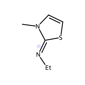 CC/N=c1\sccn1C